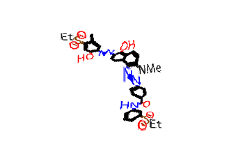 CCS(=O)(=O)c1cccc(NC(=O)c2ccc(/N=N/c3c(NC)ccc4c(O)c(/N=N/c5cc(C)c(S(=O)(=O)CC)cc5O)ccc34)cc2)c1